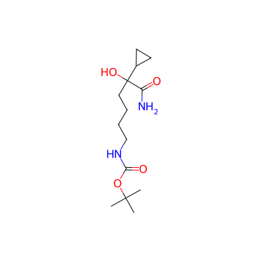 CC(C)(C)OC(=O)NCCCCC(O)(C(N)=O)C1CC1